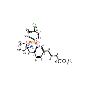 O=C(O)CCCc1ccc(CC2(NS(=O)(=O)c3ccc(Cl)cc3)CCCCC2)cc1